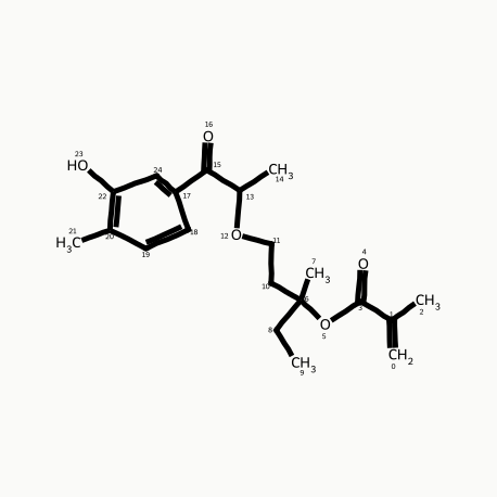 C=C(C)C(=O)OC(C)(CC)CCOC(C)C(=O)c1ccc(C)c(O)c1